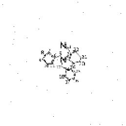 N#CC1=C(N(Cc2ccccc2)Cc2ccccc2)CCCC1